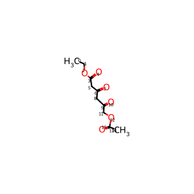 CCOC(=O)CC(=O)CC(=O)COC(C)=O